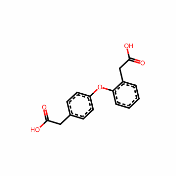 O=C(O)Cc1ccc(Oc2ccccc2CC(=O)O)cc1